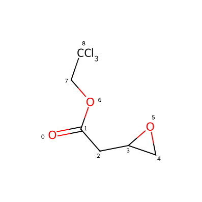 O=C(CC1CO1)OCC(Cl)(Cl)Cl